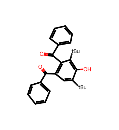 CC(C)(C)c1cc(C(=O)c2ccccc2)c(C(=O)c2ccccc2)c(C(C)(C)C)c1O